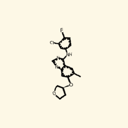 Cc1cc2c(Nc3ccc(F)c(Cl)c3)ncnc2cc1O[C@H]1CCOC1